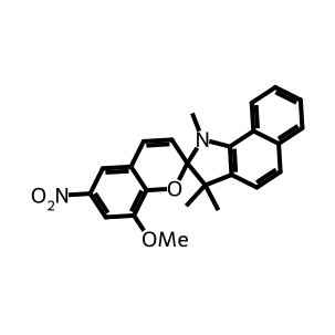 COc1cc([N+](=O)[O-])cc2c1OC1(C=C2)N(C)c2c(ccc3ccccc23)C1(C)C